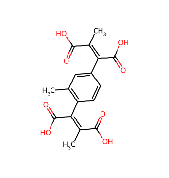 C/C(C(=O)O)=C(\C(=O)O)c1ccc(/C(C(=O)O)=C(/C)C(=O)O)c(C)c1